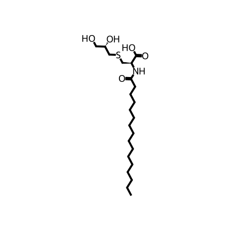 CCCCCCCCCCCCCCCC(=O)N[C@@H](CSC[C@@H](O)CO)C(=O)O